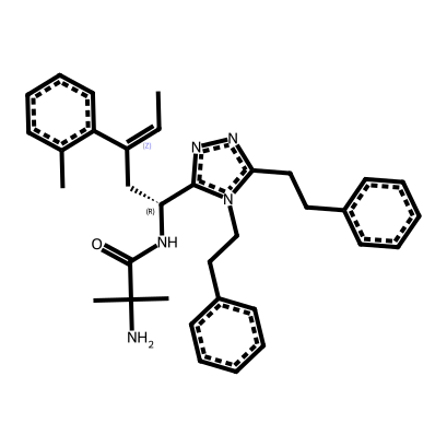 C/C=C(/C[C@@H](NC(=O)C(C)(C)N)c1nnc(CCc2ccccc2)n1CCc1ccccc1)c1ccccc1C